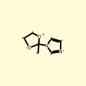 CC1(n2ccnc2)OCCO1